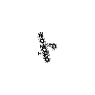 O=c1[nH]c2cc3nc(-c4ccc(-n5ccnc5)cc4)n(CCCN4CCCCC4)c3cc2nc1Cc1ccccc1